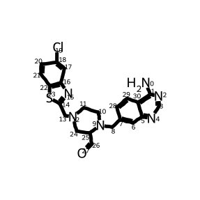 Nc1ncnc2cc(CN3CCN(Cc4nc5cc(Cl)ccc5s4)CC3C=O)ccc12